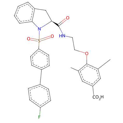 Cc1cc(C(=O)O)cc(C)c1OCCNC(=O)[C@@H]1Cc2ccccc2N1S(=O)(=O)c1ccc(-c2ccc(F)cc2)cc1